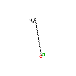 CCCCCCCCCCCCCCCCCCCCCCCCCCCCCC(=O)Cl